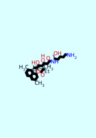 CCC(C)(C)C(=O)O[C@H]1C[C@@H](C)C=C2C=C[C@H](C)[C@H](CC[C@@H](O)C[C@@H](O)CC(=O)N[C@H](CO)CCCCN)[C@H]21